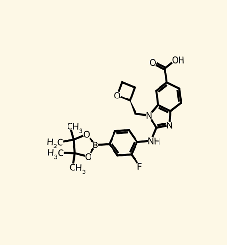 CC1(C)OB(c2ccc(Nc3nc4ccc(C(=O)O)cc4n3C[C@@H]3CCO3)c(F)c2)OC1(C)C